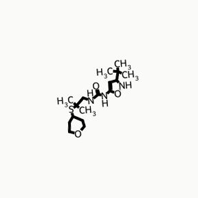 CC(C)(CNC(=O)NC1=CC(C(C)(C)C)NO1)SC1CCOCC1